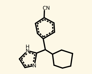 N#Cc1ccc(C(c2ncc[nH]2)C2CCCCC2)cc1